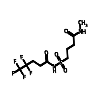 CNC(=O)CCCS(=O)(=O)NC(=O)CCC(F)(F)C(F)(F)F